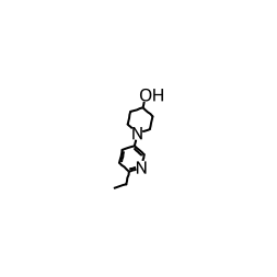 CCc1ccc(N2CCC(O)CC2)cn1